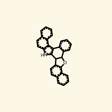 c1ccc2c(c1)-c1c([nH]c3ccc4ccccc4c13)C1c3ccc4ccccc4c3OC21